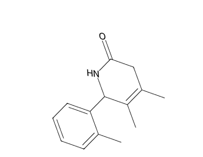 CC1=C(C)C(c2ccccc2C)NC(=O)C1